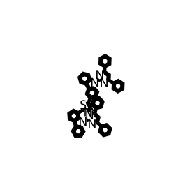 c1ccc(-c2cc(-c3ccccc3)nc(-n3c4ccccc4c4cc(-c5nnc(-c6cccc7c8ccccc8n(-c8nc(-c9ccccc9)cc(-c9ccccc9)n8)c67)s5)ccc43)n2)cc1